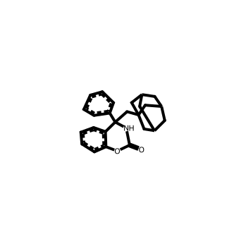 O=C1NC(CC23CC4CC(CC(C4)C2)C3)(c2ccccc2)c2ccccc2O1